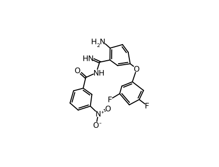 N=C(NC(=O)c1cccc([N+](=O)[O-])c1)c1cc(Oc2cc(F)cc(F)c2)ccc1N